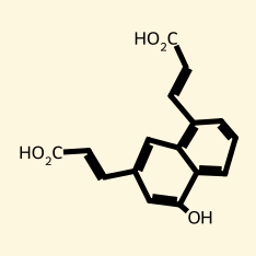 O=C(O)C=Cc1cc(O)c2cccc(C=CC(=O)O)c2c1